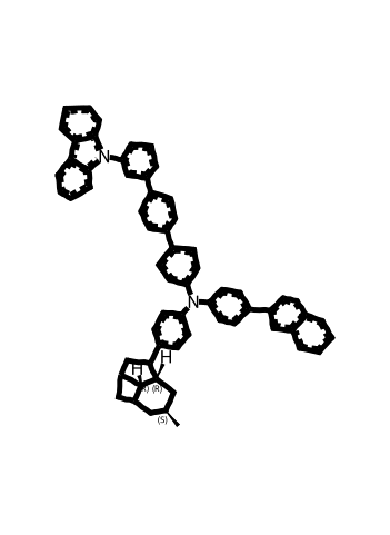 C[C@H]1CC2CC3CC(c4ccc(N(c5ccc(-c6ccc(-c7cccc(-n8c9ccccc9c9ccccc98)c7)cc6)cc5)c5ccc(-c6ccc7ccccc7c6)cc5)cc4)[C@H](C1)[C@@H]32